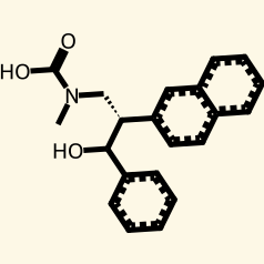 CN(C[C@H](c1ccc2ccccc2c1)C(O)c1ccccc1)C(=O)O